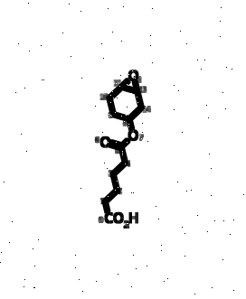 O=C(O)CCCCC(=O)OC1CCC2OC2C1